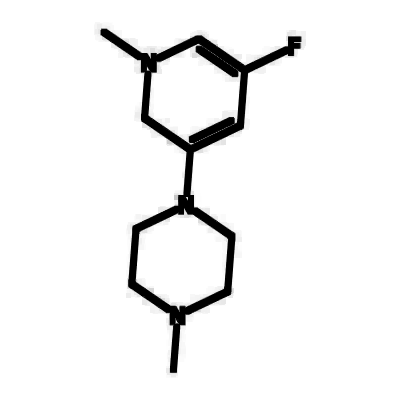 CN1C=C(F)C=C(N2CCN(C)CC2)C1